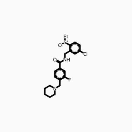 CC[S+]([O-])c1ccc(Cl)cc1CNC(=O)c1ccc(CN2CCCCC2)c(F)c1